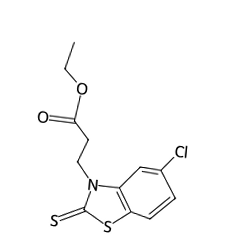 CCOC(=O)CCn1c(=S)sc2ccc(Cl)cc21